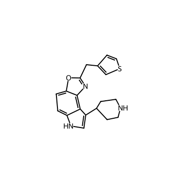 c1cc(Cc2nc3c(ccc4[nH]cc(C5CCNCC5)c43)o2)cs1